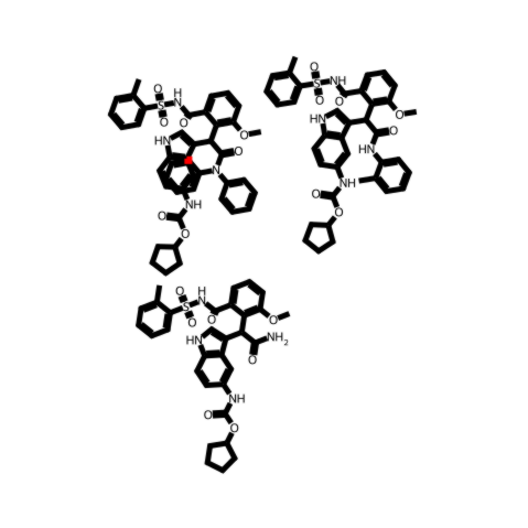 COc1cccc(C(=O)NS(=O)(=O)c2ccccc2C)c1C(C(=O)N(c1ccccc1)c1ccccc1)c1c[nH]c2ccc(NC(=O)OC3CCCC3)cc12.COc1cccc(C(=O)NS(=O)(=O)c2ccccc2C)c1C(C(=O)Nc1ccccc1C)c1c[nH]c2ccc(NC(=O)OC3CCCC3)cc12.COc1cccc(C(=O)NS(=O)(=O)c2ccccc2C)c1C(C(N)=O)c1c[nH]c2ccc(NC(=O)OC3CCCC3)cc12